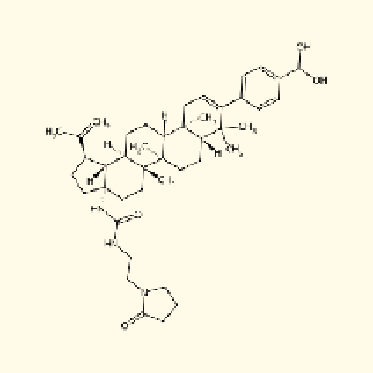 C=C(C)[C@@H]1CC[C@]2(NC(=O)NCCN3CCCC3=O)CC[C@]3(C)[C@H](CC[C@@H]4[C@@]5(C)CC=C(c6ccc(C(O)O)cc6)C(C)(C)[C@@H]5CC[C@]43C)[C@@H]12